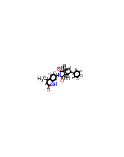 Cc1cc(=O)[nH]c2cc(N3C(=O)[C@@H]4[C@H]5C[C@H](C[C@H]5c5ccccc5)[C@@H]4C3=O)ccc12